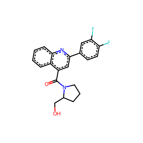 O=C(c1cc(-c2ccc(F)c(F)c2)nc2ccccc12)N1CCCC1CO